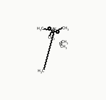 CCCCCCCCCCCCCCCCCCCCCCCCCCC=CC1=C(c2cccc(CCCC)c2)[N+](=[N-])C(c2cccc(CCCC)c2)=C1CCCC.C[CH2][Ni][CH2]C